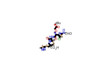 CC(C)(C)OC(=O)CON=C(C(=O)NC1C(=O)N2CC(CSc3nncs3)(C(=O)O)CS[C@H]12)c1nc(NC=O)sc1Cl